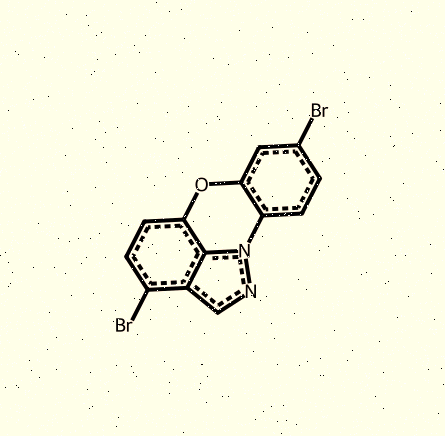 Brc1ccc2c(c1)Oc1ccc(Br)c3cnn-2c13